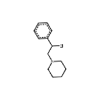 ClC(CN1CCCCC1)c1ccccc1